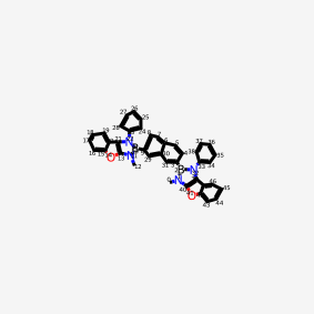 CN1B(c2ccc3ccc(B4N(C)c5oc6ccccc6c5N4c4ccccc4)cc3c2)N(c2ccccc2)c2c1oc1ccccc21